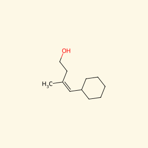 CC(=CC1CCCCC1)CCO